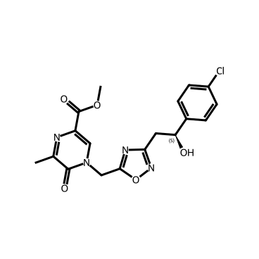 COC(=O)c1cn(Cc2nc(C[C@H](O)c3ccc(Cl)cc3)no2)c(=O)c(C)n1